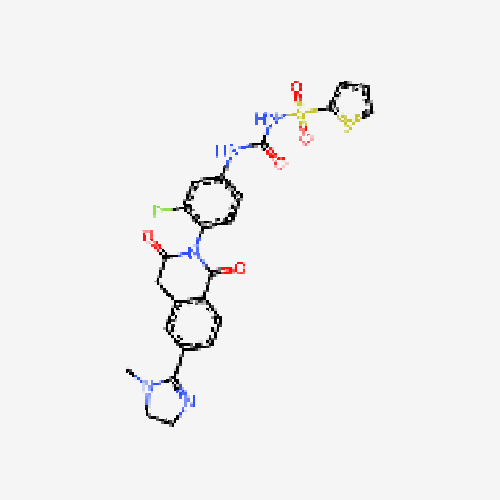 CN1CCN=C1c1ccc2c(c1)CC(=O)N(c1ccc(NC(=O)NS(=O)(=O)c3cccs3)cc1F)C2=O